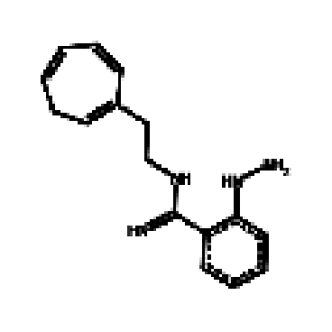 N=C(NCCC1=CCC=CC=C1)c1ccccc1NN